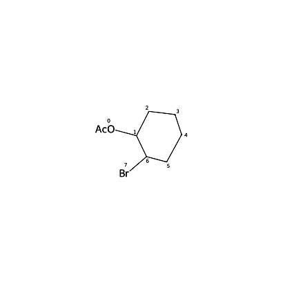 CC(=O)OC1CCCCC1Br